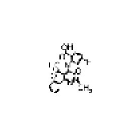 CCn1nc(-c2ccccc2)c(C(C)=O)c(Nc2cc(F)ccc2C(=O)O)c1=O